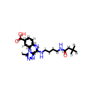 Cc1nnc2c(NCCCCNC(=O)CC(C)(C)C)nc3ccc(C(=O)O)cc3n12